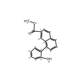 COC(=O)c1ccc2cccc(-c3ccccc3O)c2c1